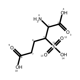 NC(C(=O)O)C(CCC(=O)O)S(=O)(=O)O